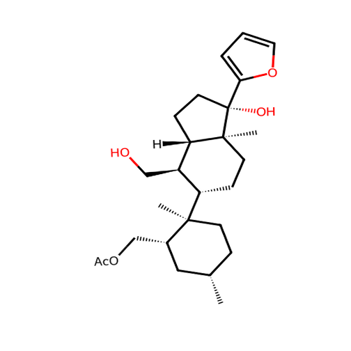 CC(=O)OC[C@H]1C[C@@H](C)CC[C@]1(C)[C@H]1CC[C@@]2(C)[C@@H](CC[C@@]2(O)c2ccco2)[C@@H]1CO